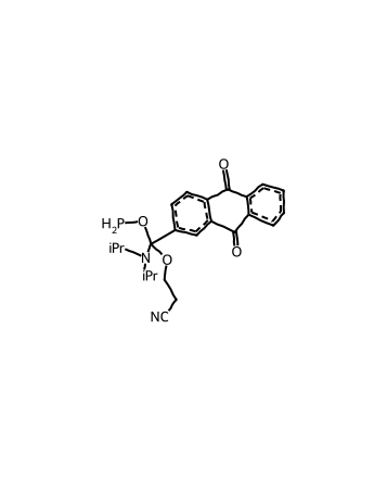 CC(C)N(C(C)C)C(OP)(OCCC#N)c1ccc2c(c1)C(=O)c1ccccc1C2=O